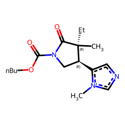 CCCCOC(=O)N1C[C@H](c2cncn2C)[C@@](C)(CC)C1=O